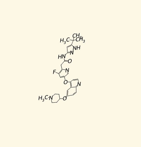 CN1CCC(Oc2ccc3nccc(Oc4cnc(CC(=O)Nc5cc(C(C)(C)C)[nH]n5)c(F)c4)c3c2)CC1